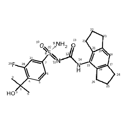 CC(C)(O)c1ccc([S@@](N)(=O)=NC(=O)Nc2c3c(cc4c2CCC4)CCC3)cc1F